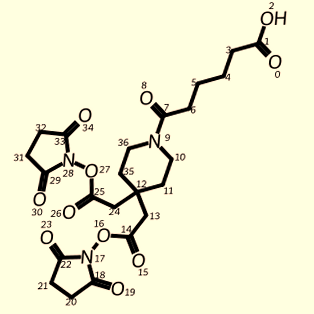 O=C(O)CCCCC(=O)N1CCC(CC(=O)ON2C(=O)CCC2=O)(CC(=O)ON2C(=O)CCC2=O)CC1